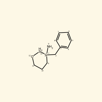 N[Si]1(Cc2ccccc2)CCCO[SiH2]1